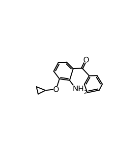 Nc1c(OC2CC2)cccc1C(=O)c1ccccc1